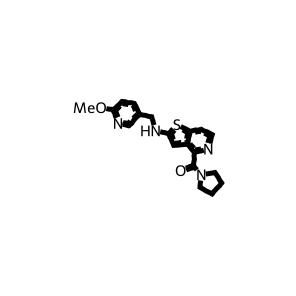 COc1ccc(CNc2cc3c(C(=O)N4CCCC4)nccc3s2)cn1